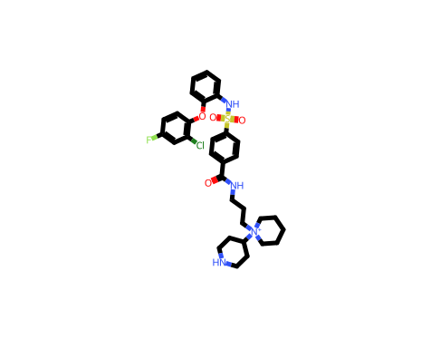 O=C(NCCC[N+]1(C2CCNCC2)CCCCC1)c1ccc(S(=O)(=O)Nc2ccccc2Oc2ccc(F)cc2Cl)cc1